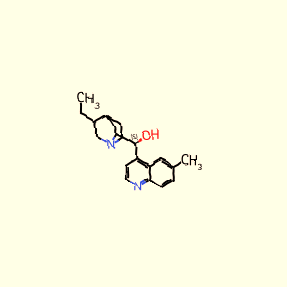 CCC1CN2CCC1CC2[C@@H](O)c1ccnc2ccc(C)cc12